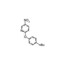 CCCCc1ccc(Oc2ccc([N+](=O)[O-])cn2)cc1